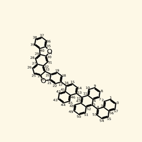 c1ccc2c(-c3c4ccccc4c(-c4ccc(-c5ccc6c(c5)oc5ccc7cc8c(cc7c56)oc5ccccc58)c5ccccc45)c4ccccc34)cccc2c1